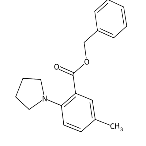 Cc1ccc(N2CCCC2)c(C(=O)OCc2ccccc2)c1